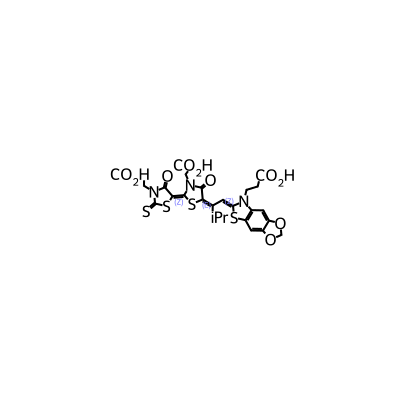 CC(C)C(/C=C1\Sc2cc3c(cc2N1CCC(=O)O)OCO3)=c1\s/c(=C2\SC(=S)N(CC(=O)O)C2=O)n(CC(=O)O)c1=O